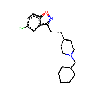 Clc1ccc2onc(CCC3CCN(CC4CCCCC4)CC3)c2c1